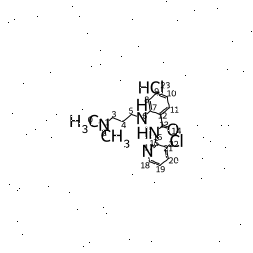 CN(C)CCCNc1ccccc1C(=O)Nc1ncccc1Cl.Cl